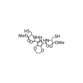 COC(=O)C(CS)NC(=O)c1[nH]c(C(=O)NC(CS)C(=O)OC)c2c1OCCCO2